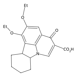 CCOc1cc2c(=O)c(C(=O)O)cn3c2c(c1OCC)C1CCCCC13